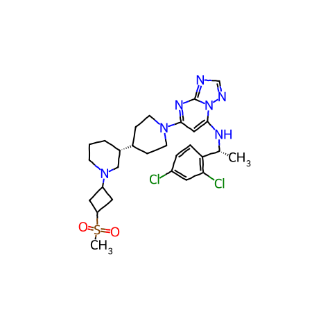 C[C@@H](Nc1cc(N2CCC([C@H]3CCCN(C4CC(S(C)(=O)=O)C4)C3)CC2)nc2ncnn12)c1ccc(Cl)cc1Cl